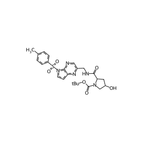 Cc1ccc(S(=O)(=O)n2ccc3nc(CNC(=O)C4CC(O)CN4C(=O)OC(C)(C)C)cnc32)cc1